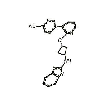 N#Cc1ccc(-c2cccnc2O[C@H]2C[C@H](Nc3nc4ccccc4s3)C2)cn1